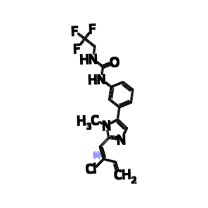 C=C/C(Cl)=C\c1ncc(-c2cccc(NC(=O)NCC(F)(F)F)c2)n1C